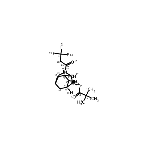 CC(C)(C)C(=O)O[C@@H]1C2[C@H]3CC(C[C@@H]1[C@@H]3N)CN2C(=O)CC(F)(F)F